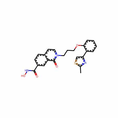 Cc1nc(-c2ccccc2OCCCn2ccc3ccc(C(=O)NO)cc3c2=O)cs1